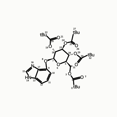 CC(C)(C)C(=O)OC[C@H]1O[C@@H](Oc2cccc3[nH]cnc23)[C@H](OC(=O)C(C)(C)C)[C@@H](OC(=O)C(C)(C)C)[C@@H]1OC(=O)C(C)(C)C